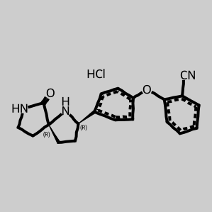 Cl.N#Cc1ccccc1Oc1ccc([C@H]2CC[C@]3(CCNC3=O)N2)cc1